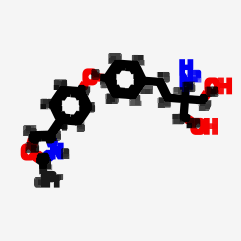 CC(C)c1nc(-c2ccc(Oc3ccc(CCC(N)(CO)CO)cc3)cc2)co1